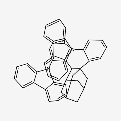 c1ccc(-n2c3ccccc3c3ccccc32)c(C2C3CC4CC(C3)CC2(c2ccccc2-n2c3ccccc3c3ccccc32)C4)c1